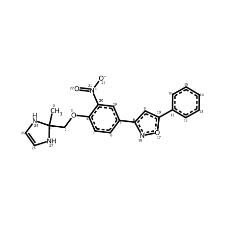 CC1(COc2ccc(-c3cc(-c4ccccc4)on3)cc2[N+](=O)[O-])NC=CN1